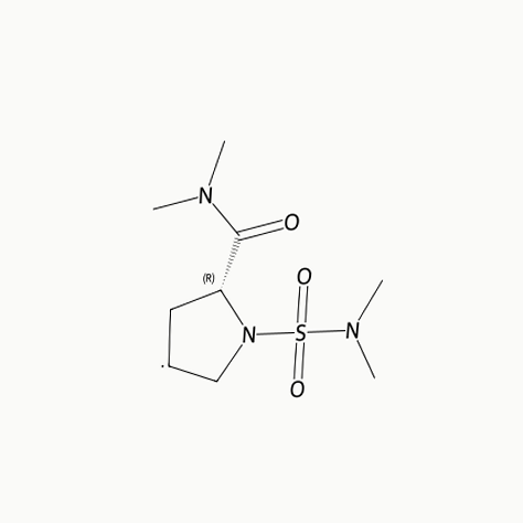 CN(C)C(=O)[C@H]1C[CH]CN1S(=O)(=O)N(C)C